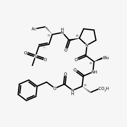 CC(=O)C[C@@H](/C=C/S(C)(=O)=O)NC(=O)[C@H]1CCCN1C(=O)[C@H](NC(=O)[C@H](CC(=O)O)NC(=O)OCc1ccccc1)C(C)(C)C